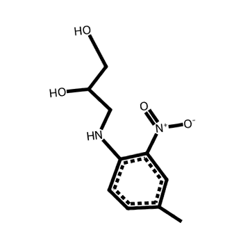 Cc1ccc(NCC(O)CO)c([N+](=O)[O-])c1